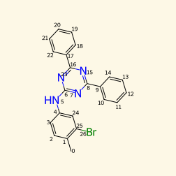 Cc1ccc(Nc2nc(-c3ccccc3)nc(-c3ccccc3)n2)cc1Br